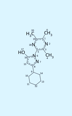 Cc1nc(C)c(-n2nc(C3CCCCC3)cc2O)nc1C